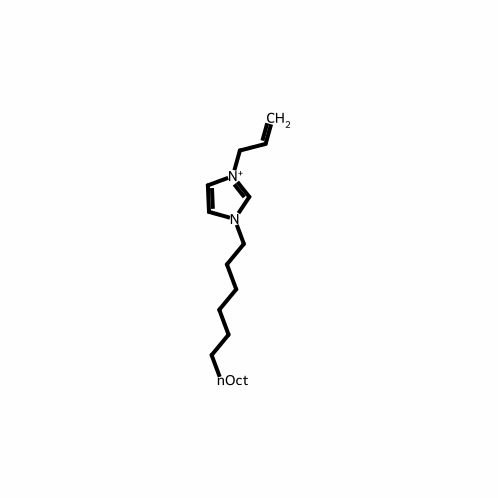 C=CC[n+]1ccn(CCCCCCCCCCCCCC)c1